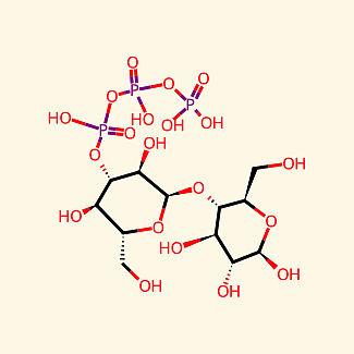 O=P(O)(O)OP(=O)(O)OP(=O)(O)O[C@@H]1[C@@H](O)[C@@H](O[C@H]2[C@H](O)[C@@H](O)[C@H](O)O[C@@H]2CO)O[C@H](CO)[C@H]1O